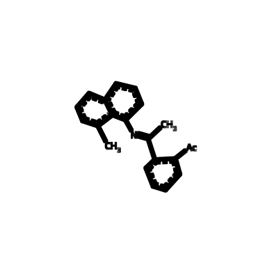 CC(=O)c1ccccc1/C(C)=N/c1cccc2cccc(C)c12